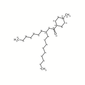 CCCCCCCCCC(CCCCCCC)CC(=O)C1CCN(C)CC1